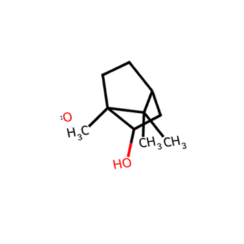 CC1(C)C2CCC1(C)C(O)C2.[O]